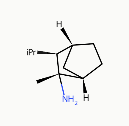 CC(C)[C@H]1[C@@H]2CC[C@@H](C2)[C@]1(C)N